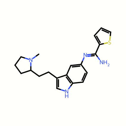 CN1CCCC1CCc1c[nH]c2ccc(N=C(N)c3cccs3)cc12